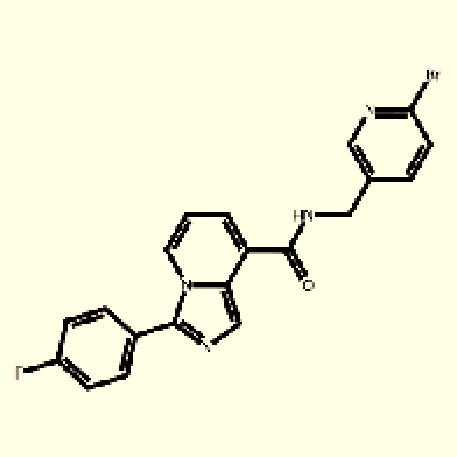 O=C(NCc1ccc(Br)nc1)c1cccn2c(-c3ccc(F)cc3)ncc12